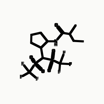 CCC(C)C(=O)NC1CCCC1C(S(=O)(=O)C(F)(F)F)S(=O)(=O)C(F)(F)F